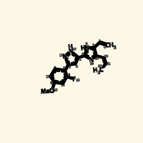 C=Cc1[nH]c(-c2cc(-c3ccc(OC)cc3F)n[nH]2)nc1/C=C\C